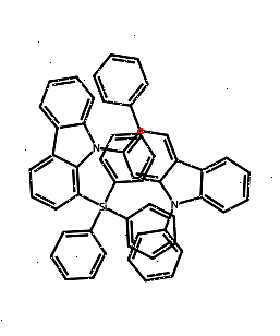 c1ccc(-c2cc3c4ccccc4n(-c4ccccc4)c3cc2-n2c3ccccc3c3cccc([Si](c4ccccc4)(c4ccccc4)c4ccccc4)c32)cc1